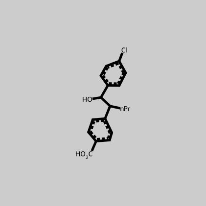 CCCC(c1ccc(C(=O)O)cc1)C(O)c1ccc(Cl)cc1